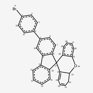 Brc1ccc(-c2ccc3c(c2)-c2ccccc2C32C3=CC=CCC3Oc3ccccc32)cc1